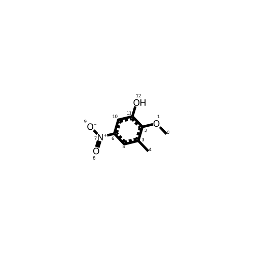 COc1c(C)cc([N+](=O)[O-])cc1O